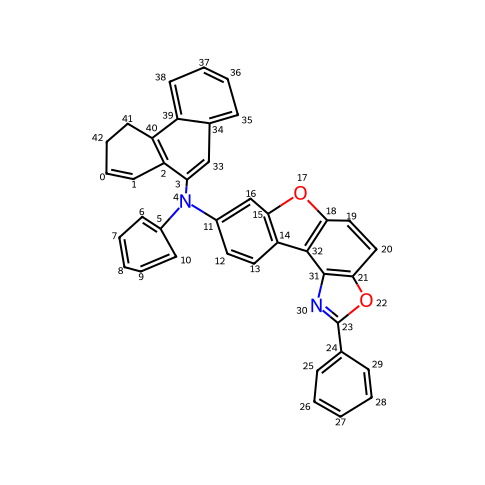 C1=Cc2c(N(c3ccccc3)c3ccc4c(c3)oc3ccc5oc(-c6ccccc6)nc5c34)cc3ccccc3c2CC1